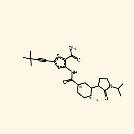 CC(C)N1CCC(C2C[C@H](C(=O)Nc3cc(C#CC(C)(C)C)sc3C(=O)O)CC[C@H]2C)C1=O